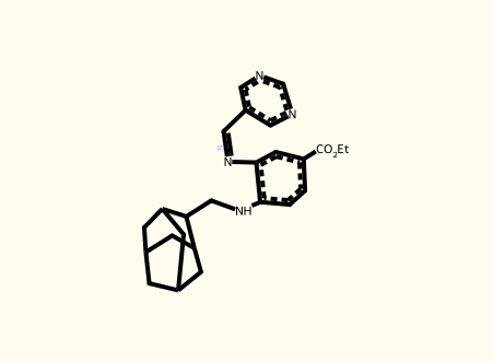 CCOC(=O)c1ccc(NCC2C3CC4CC(C3)CC2C4)c(/N=C\c2cncnc2)c1